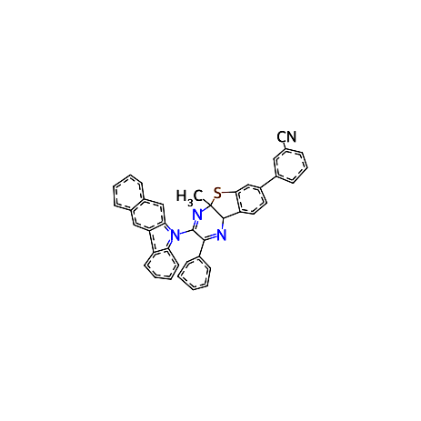 CC12N=C(n3c4ccccc4c4cc5ccccc5cc43)C(c3ccccc3)=NC1c1ccc(-c3cccc(C#N)c3)cc1S2